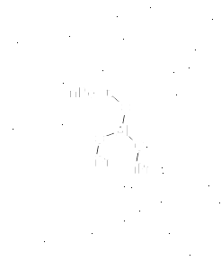 CCCCC[O][Al]([O]C(C)C)[O]C(C)C